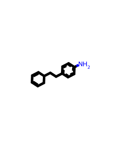 Nc1ccc(CCC2C=CC=CC2)cc1